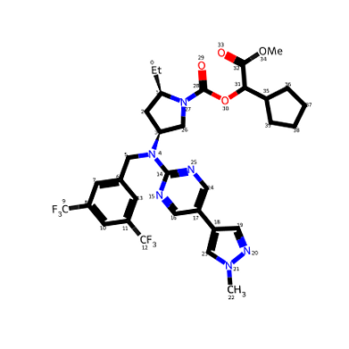 CC[C@@H]1C[C@H](N(Cc2cc(C(F)(F)F)cc(C(F)(F)F)c2)c2ncc(-c3cnn(C)c3)cn2)CN1C(=O)OC(C(=O)OC)C1CCCC1